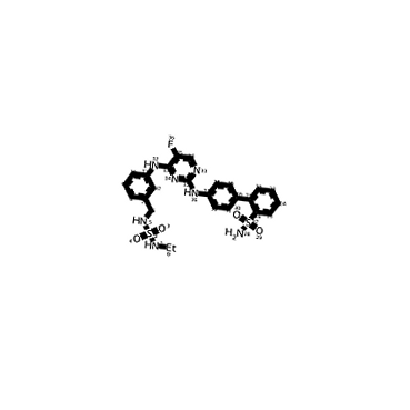 CCNS(=O)(=O)NCc1cccc(Nc2nc(Nc3ccc(-c4ccccc4S(N)(=O)=O)cc3)ncc2F)c1